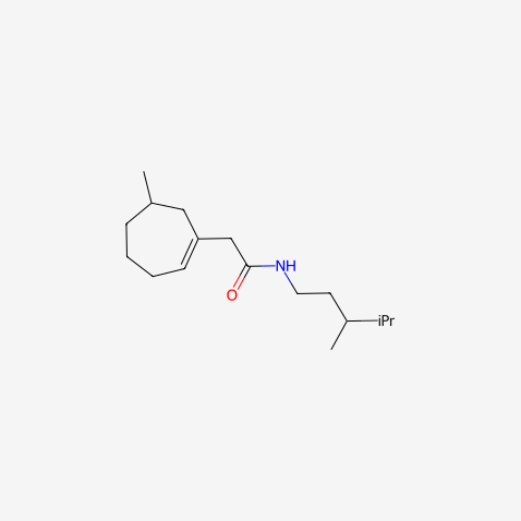 CC1CCCC=C(CC(=O)NCCC(C)C(C)C)C1